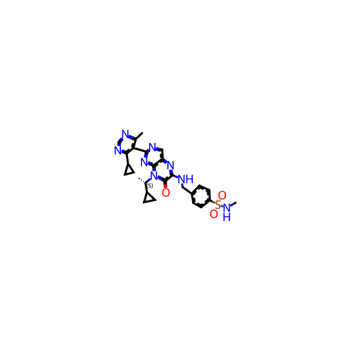 CNS(=O)(=O)c1ccc(CNc2nc3cnc(-c4c(C)ncnc4C4CC4)nc3n([C@@H](C)C3CC3)c2=O)cc1